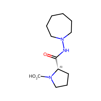 O=C(NN1CCCCCC1)[C@@H]1CCCN1C(=O)O